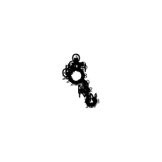 C=C1C(=O)O[C@H]2[C@H]1CC/C(Cn1cc(-c3ccccn3)nn1)=C\CC[C@@]1(C)O[C@@H]21